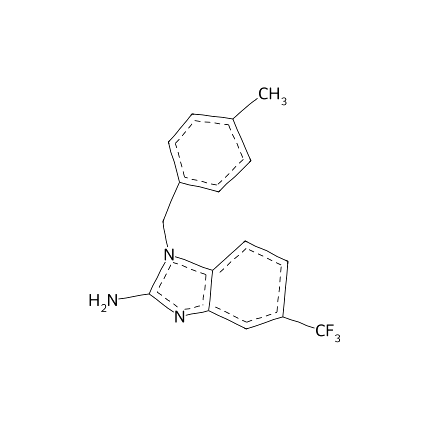 Cc1ccc(Cn2c(N)nc3cc(C(F)(F)F)ccc32)cc1